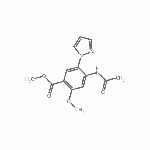 COC(=O)c1cc(-n2cccn2)c(NC(C)=O)cc1OC